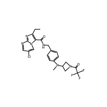 CCc1nc2ncc(Cl)cn2c1C(=O)NCc1ccc(N(C)C2CN(C(=O)C(F)(F)F)C2)cc1